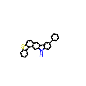 c1ccc(-c2ccc3[nH]c4cc5c(ccc6sc7ccccc7c65)cc4c3c2)cc1